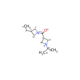 CCC1CN(C(=O)C2CN(C(C)C)C2)C1